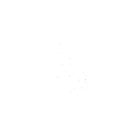 Cn1nccc1Nc1nccc(-c2ccc(NC(=O)Cc3ccccc3)c(C#N)c2)n1